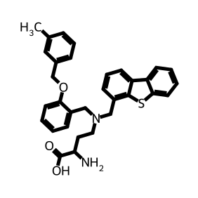 Cc1cccc(COc2ccccc2CN(CCC(N)C(=O)O)Cc2cccc3c2sc2ccccc23)c1